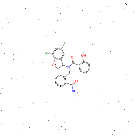 NC(=O)c1ccccc1CN(C(=O)c1ccccc1O)C1COc2c(F)cc(F)cc21